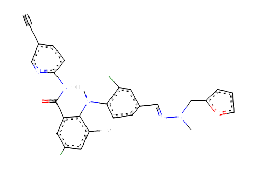 C#Cc1ccc(NC(=O)c2cc(Cl)cc(OC)c2N(C=O)c2ccc(C=NN(C)Cc3ccco3)cc2F)nc1